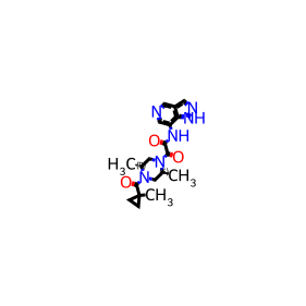 C[C@@H]1CN(C(=O)C(=O)Nc2cncc3cn[nH]c23)[C@@H](C)CN1C(=O)C1(C)CC1